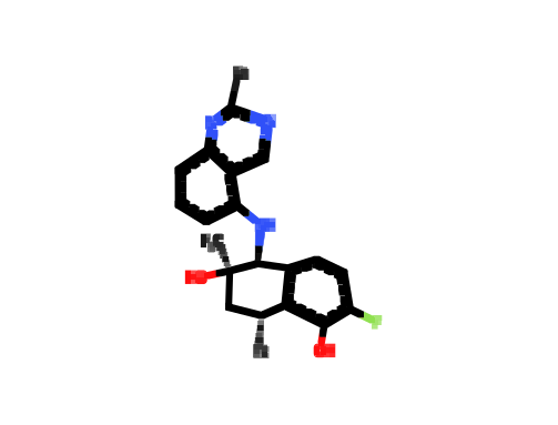 CCc1ncc2c(N[C@H]3c4ccc(F)c(O)c4[C@H](CC)C[C@]3(O)C(F)(F)F)cccc2n1